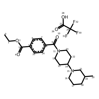 CCOC(=O)c1ccc(C(=O)N2CCC(N3CCCC(C)C3)CC2)cc1.O=C(O)C(F)(F)F